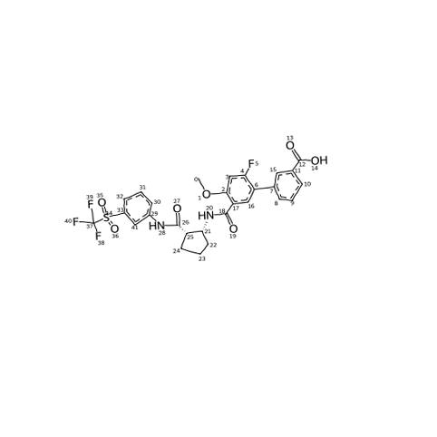 COc1cc(F)c(-c2cccc(C(=O)O)c2)cc1C(=O)N[C@@H]1CCC[C@@H]1C(=O)Nc1cccc(S(=O)(=O)C(F)(F)F)c1